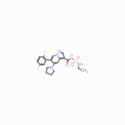 CCNS(=O)(=O)NC(=O)c1cnn2cc(-c3cc(F)ccc3F)c(N3CCCC3)cc12